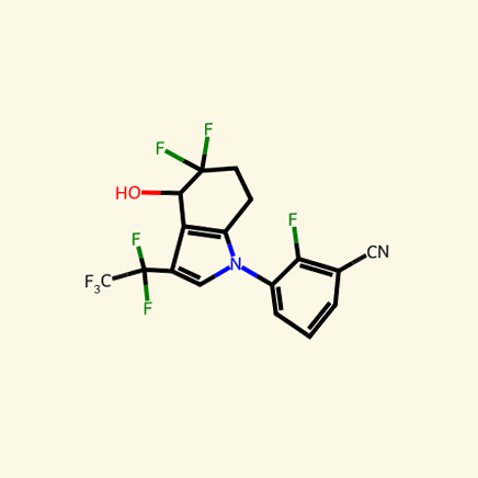 N#Cc1cccc(-n2cc(C(F)(F)C(F)(F)F)c3c2CCC(F)(F)C3O)c1F